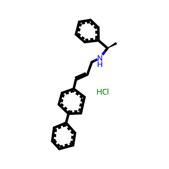 C[C@@H](NC/C=C/c1ccc(-c2ccccc2)cc1)c1ccccc1.Cl